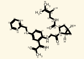 CC(=O)C(=N)c1cc(OCc2ncccn2)ccc1NCC(=O)N1[C@@H]2C[C@@H]2C[C@H]1C(=O)NCC(F)=C(C)C